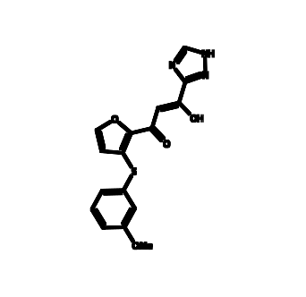 COc1cccc(Sc2ccoc2C(=O)C=C(O)c2nc[nH]n2)c1